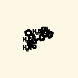 Cc1c(S(N)(=O)=O)cc(-c2ccc(N3CCCCC3)c(C(C)(C)C)c2)n1CC1CCCCC1